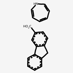 C1=CC=CNC=C1.O=C(O)c1ccc2c(c1)-c1ccccc1C2